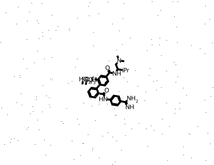 CC(C)C(CN(C)C)NC(=O)c1ccc(-c2ccccc2C(=O)Nc2ccc(C(=N)N)cc2)c(C(=O)O)c1.CS(=O)(=O)O.CS(=O)(=O)O